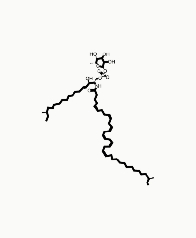 CC[C@@H](C)CCCCCCCCCC/C=C/[C@@H](O)[C@H](COS(=O)(=O)O[C@@H]1O[C@H](C)[C@H](O)C(O)C1O)NC(=O)CCC/C=C\CC/C=C\C/C=C\C/C=C\C/C=C\C/C=C\CCCCCCCCCCC[C@@H](C)CC